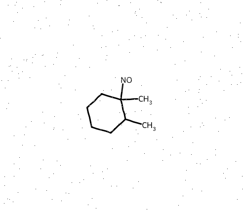 CC1CCCCC1(C)N=O